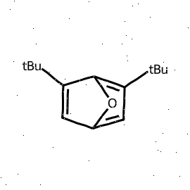 CC(C)(C)c1cc2cc(C(C)(C)C)c1o2